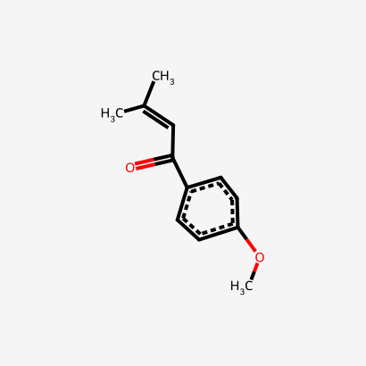 COc1ccc(C(=O)C=C(C)C)cc1